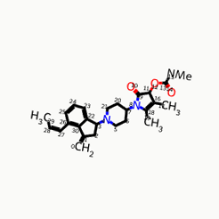 C=C1CC(N2CCC(N3C(=O)C(OC(=O)NC)C(C)=C3C)CC2)c2cccc(/C=C\C)c21